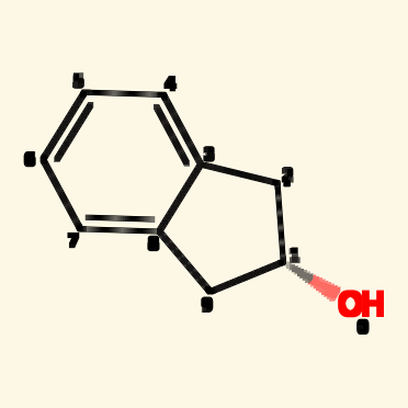 O[C@H]1[CH]c2ccccc2C1